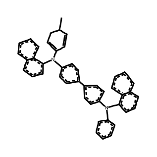 CC1C=CC(N(c2ccc(-c3ccc(N(c4ccccc4)c4cccc5ccccc45)cc3)cc2)c2cccc3ccccc23)=CC1